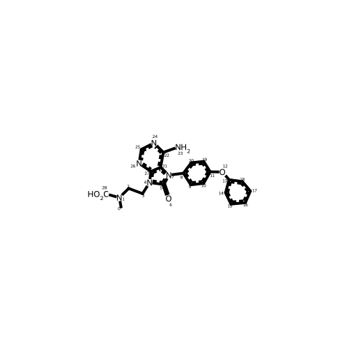 CN(CCn1c(=O)n(-c2ccc(Oc3ccccc3)cc2)c2c(N)ncnc21)C(=O)O